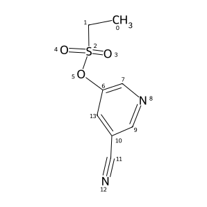 CCS(=O)(=O)Oc1cncc(C#N)c1